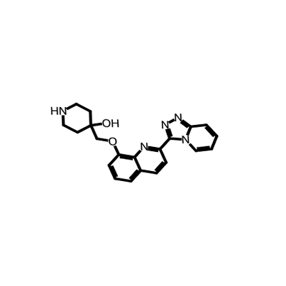 OC1(COc2cccc3ccc(-c4nnc5ccccn45)nc23)CCNCC1